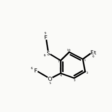 CCc1ccc(OF)c(SF)c1